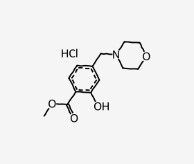 COC(=O)c1ccc(CN2CCOCC2)cc1O.Cl